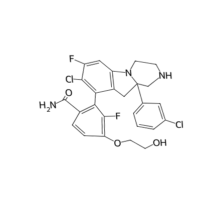 NC(=O)c1ccc(OCCO)c(F)c1-c1c(Cl)c(F)cc2c1CC1(c3cccc(Cl)c3)CNCCN21